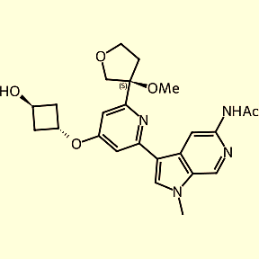 CO[C@]1(c2cc(O[C@H]3C[C@H](O)C3)cc(-c3cn(C)c4cnc(NC(C)=O)cc34)n2)CCOC1